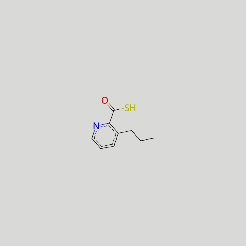 CCCc1cccnc1C(=O)S